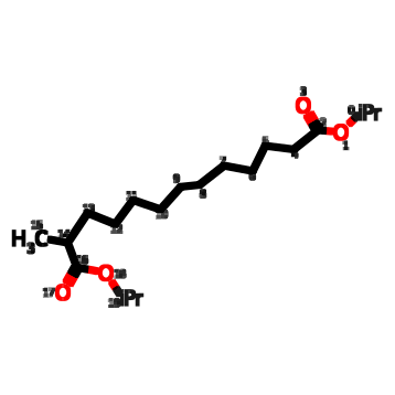 CC(C)OC(=O)CCCCCCCCCCC(C)C(=O)OC(C)C